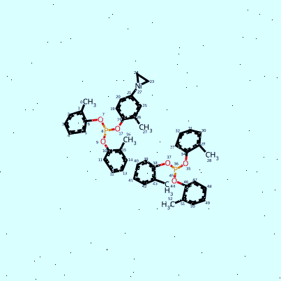 Cc1ccccc1OP(Oc1ccccc1C)Oc1cc[c]([Ni]2[CH2][CH2]2)cc1C.Cc1ccccc1OP(Oc1ccccc1C)Oc1ccccc1C